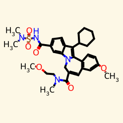 COCCN(C)C(=O)C1=Cc2cc(OC)ccc2-c2c(C3CCCCC3)c3ccc(C(=O)NS(=O)(=O)N(C)C)cc3n2C1